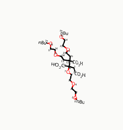 CCCCOCCOCCOC(CC(=O)O)(C(=O)O)C(CCOCCOCCCC)(CCOCCOCCCC)C(=O)O